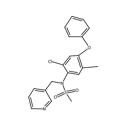 Cc1cc(N(Cc2cccnc2)S(C)(=O)=O)c(Cl)cc1Oc1ccccc1